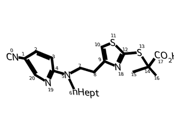 [C-]#[N+]c1ccc(N(CCCCCCC)CCc2csc(SC(C)(C)C(=O)O)n2)nc1